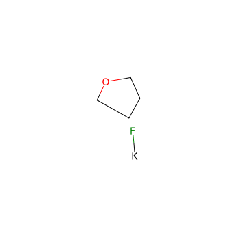 C1CCOC1.[F][K]